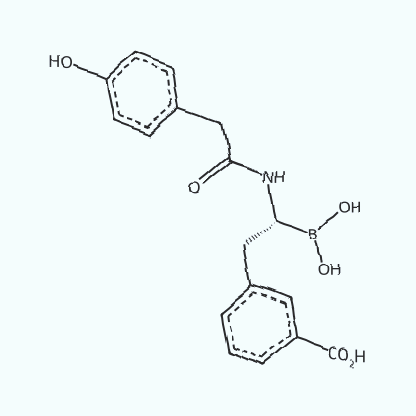 O=C(Cc1ccc(O)cc1)N[C@@H](Cc1cccc(C(=O)O)c1)B(O)O